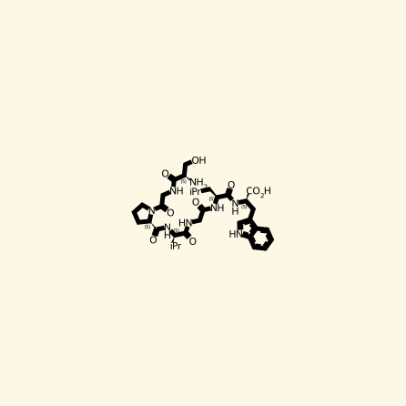 CC(C)C[C@H](NC(=O)CNC(=O)[C@@H](NC(=O)[C@@H]1CCCN1C(=O)CNC(=O)[C@@H](N)CO)C(C)C)C(=O)N[C@@H](Cc1c[nH]c2ccccc12)C(=O)O